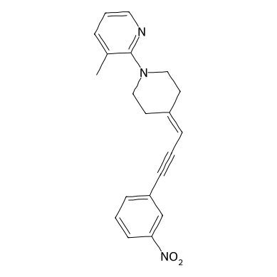 Cc1cccnc1N1CCC(=CC#Cc2cccc([N+](=O)[O-])c2)CC1